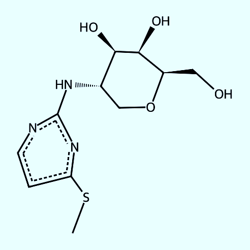 CSc1ccnc(N[C@H]2CO[C@H](CO)[C@H](O)[C@@H]2O)n1